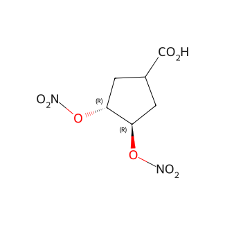 O=C(O)C1C[C@@H](O[N+](=O)[O-])[C@H](O[N+](=O)[O-])C1